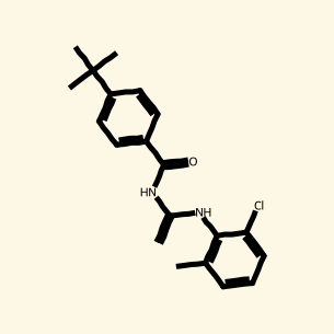 C=C(NC(=O)c1ccc(C(C)(C)C)cc1)Nc1c(C)cccc1Cl